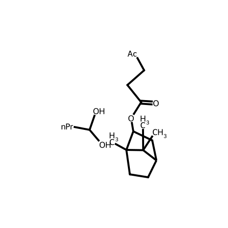 CC(=O)CCC(=O)OC1CC2CCC1(C)C2(C)C.CCCC(O)O